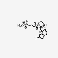 CS(=O)(=O)NCCCS(=O)(=O)N1CCC[C@@H]2CN3CCc4ccc(Cl)cc4[C@@H]3C[C@@H]21